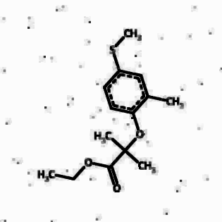 CCOC(=O)C(C)(C)Oc1ccc(SC)cc1C